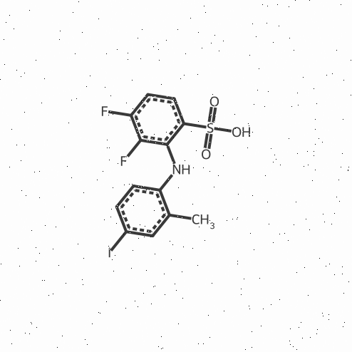 Cc1cc(I)ccc1Nc1c(S(=O)(=O)O)ccc(F)c1F